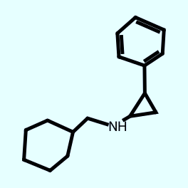 c1ccc(C2CC2NCC2CCCCC2)cc1